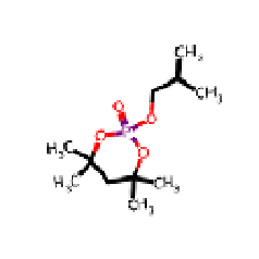 CC(C)COP1(=O)OC(C)(C)CC(C)(C)O1